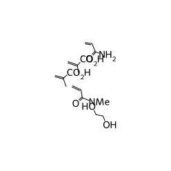 C=C(C)C(=O)O.C=C(C)C(=O)O.C=CC(=O)NC.C=CC(N)=O.OCCO